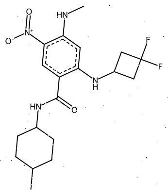 CNc1cc(NC2CC(F)(F)C2)c(C(=O)NC2CCC(C)CC2)cc1[N+](=O)[O-]